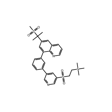 CC(C)(c1cc(-c2cccc(-c3cncc(S(=O)(=O)CC[Si](C)(C)C)c3)c2)c2ncccc2c1)S(C)(=O)=O